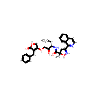 CC(C)[C@@]1(C(=O)N[C@@H](CC(=O)O)C(=O)COC2=C(Cc3ccccc3)C(=O)OC2)CC(c2nccc3ccccc23)=NO1